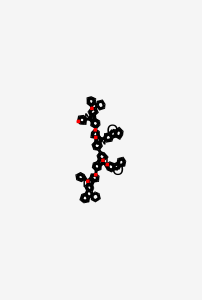 c1ccc(-n2c3cc(-c4ccc5c6cc(-c7ccc8c9ccc(-c%10ccc%11c%12cc%13c(cc%12n(-c%12ccccc%12)c%11c%10)-c%10ccccc%10C%13%10CCCCC%10)cc9n(-c9ccc%10c(c9)oc9ccccc9%10)c8c7)ccc6n(-c6ccc7oc8ccccc8c7c6)c5c4)ccc3c3cc4c(cc32)-c2ccccc2C42CCCCC2)cc1